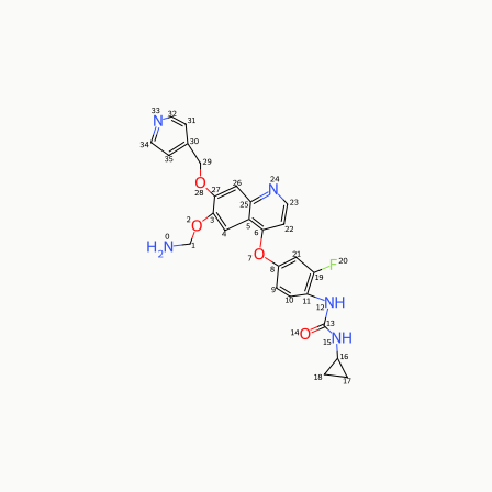 NCOc1cc2c(Oc3ccc(NC(=O)NC4CC4)c(F)c3)ccnc2cc1OCc1ccncc1